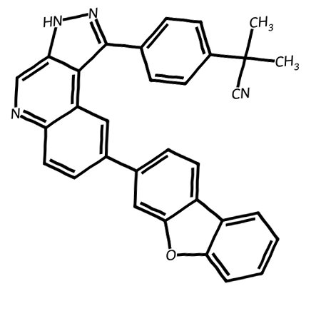 CC(C)(C#N)c1ccc(-c2n[nH]c3cnc4ccc(-c5ccc6c(c5)oc5ccccc56)cc4c23)cc1